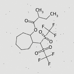 CCC(C)C(=O)OC1CCCCCC1C(S(=O)(=O)C(F)(F)F)S(=O)(=O)C(F)(F)F